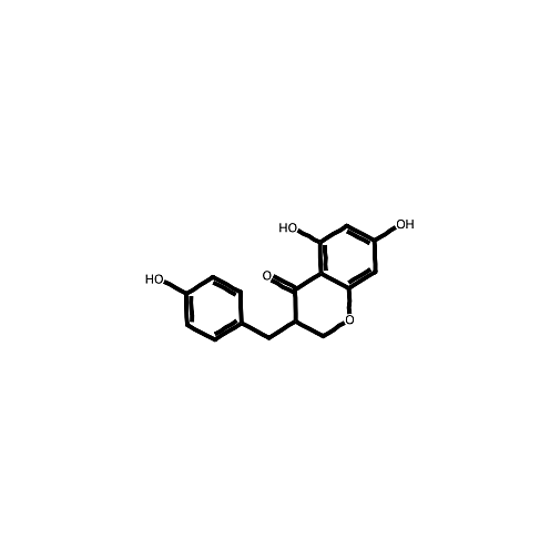 O=C1c2c(O)cc(O)cc2OCC1Cc1ccc(O)cc1